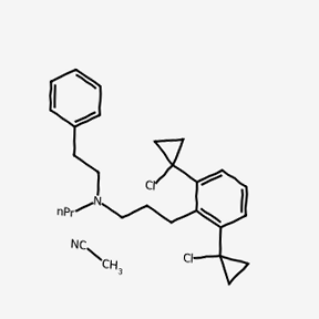 CC#N.CCCN(CCCc1c(C2(Cl)CC2)cccc1C1(Cl)CC1)CCc1ccccc1